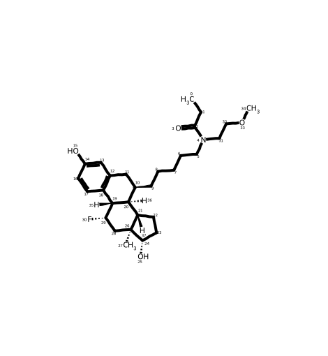 CCC(=O)N(CCCCC[C@@H]1Cc2cc(O)ccc2[C@@H]2[C@@H]1[C@@H]1CC[C@H](O)[C@@]1(C)C[C@@H]2F)CCOC